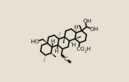 C=C=CC1C[C@@H]2[C@@]3(C)C(C(=O)O)CCC(C)(C(O)O)[C@@H]3CC[C@@]2(C)[C@]2(C)CC[C@@]3(CO)CC[C@@H](C)[C@H](C)[C@H]3[C@@H]12